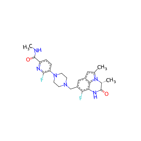 CNC(=O)c1ccc(N2CCN(Cc3cc4cc(C)n5c4c(c3F)NC(=O)[C@H]5C)CC2)c(F)n1